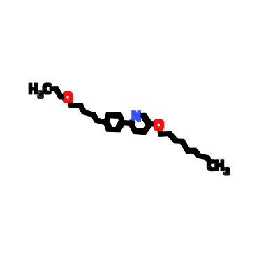 CCCC=CCCCCOc1ccc(-c2ccc(CCCCCOCCC)cc2)nc1